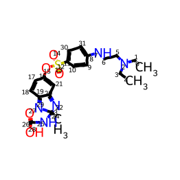 CCN(CC)CCNc1ccc(S(=O)(=O)Oc2ccc3c(c2)=NC(C)(NC(=O)O)N=3)cc1